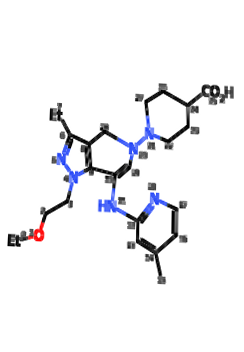 CCOCCn1nc(CC)c2c1C(Nc1cc(C)ccn1)=CN(N1CCC(C(=O)O)CC1)C2